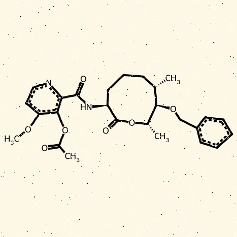 COc1ccnc(C(=O)N[C@H]2CCC[C@H](C)[C@@H](OCc3ccccc3)[C@H](C)OC2=O)c1OC(C)=O